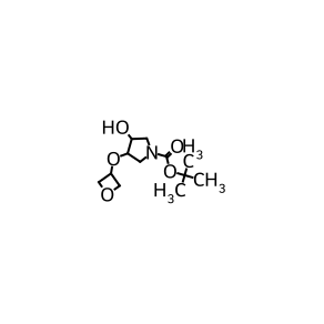 CC(C)(C)OC(=O)N1CC(O)C(OC2COC2)C1